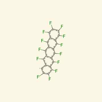 Fc1[c]c2c(F)c3c(F)c4c(F)c5c(F)c(F)c(F)c(F)c5c(F)c4c(F)c3c(F)c2c(F)c1F